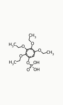 CCOc1cc(OP(=O)(O)O)c(OCC)c(OCC)c1OCC